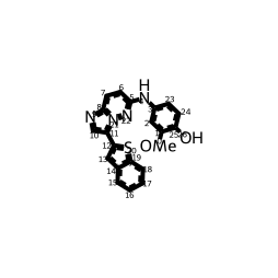 COc1cc(Nc2ccc3ncc(-c4cc5ccccc5s4)n3n2)ccc1O